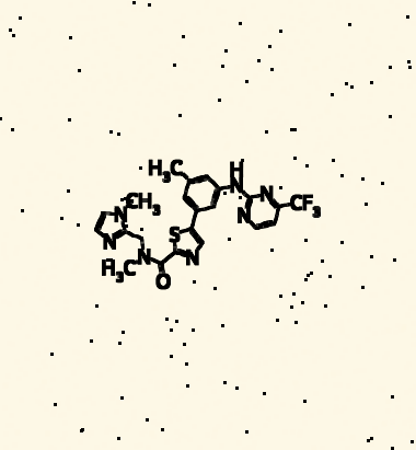 Cc1cc(Nc2nccc(C(F)(F)F)n2)cc(-c2cnc(C(=O)N(C)Cc3nccn3C)s2)c1